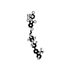 O=C1CCC(N2C(=O)c3ccc(OCCCN4C[C@@H]5CN(c6ncc(-c7ccc8c9cnccc9n(C(F)F)c8c7)cc6F)C[C@@H]5C4)cc3C2=O)C(=O)N1